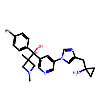 CC(C)c1ccc([C@](O)(c2cncc(-n3cnc(CC4(N)CC4)c3)c2)C2(C)CN(C)C2)cc1